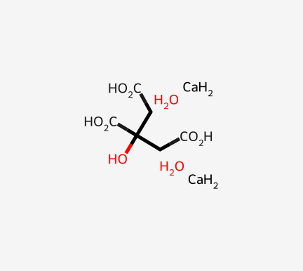 O.O.O=C(O)CC(O)(CC(=O)O)C(=O)O.[CaH2].[CaH2]